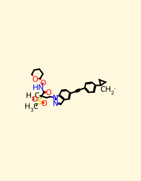 [CH2]C1(c2ccc(C#Cc3ccc4c(cnn4CCC(C)(C(=O)NOC4CCCCO4)S(C)(=O)=O)c3)cc2)CC1